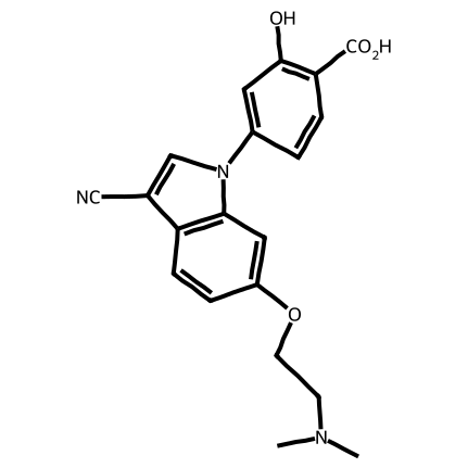 CN(C)CCOc1ccc2c(C#N)cn(-c3ccc(C(=O)O)c(O)c3)c2c1